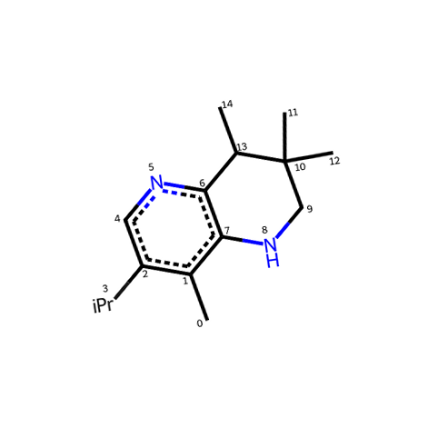 Cc1c(C(C)C)cnc2c1NCC(C)(C)C2C